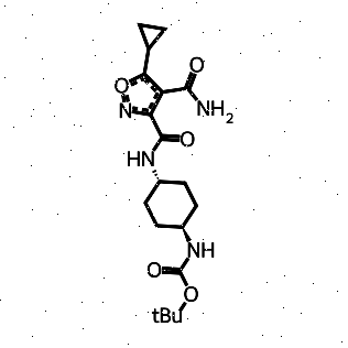 CC(C)(C)OC(=O)N[C@H]1CC[C@H](NC(=O)c2noc(C3CC3)c2C(N)=O)CC1